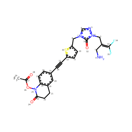 NCC(Cn1ncn(Cc2ccc(C#Cc3ccc4c(c3)CCC(=O)N4OC(=O)C(F)(F)F)s2)c1=O)=C(F)F